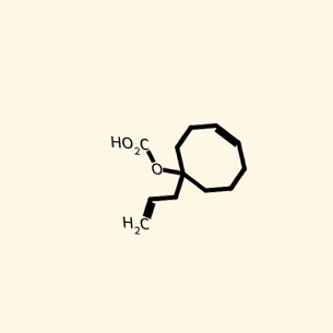 C=CCC1(OC(=O)O)CCC=CCCC1